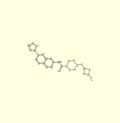 O=C(Nc1cc2nc(-c3cncs3)ccc2cn1)C1CCC(CN2CC(F)C2)CC1